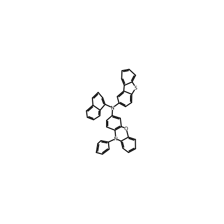 c1ccc(N2c3ccccc3Oc3cc(N(c4ccc5sc6ccccc6c5c4)c4cccc5ccccc45)ccc32)cc1